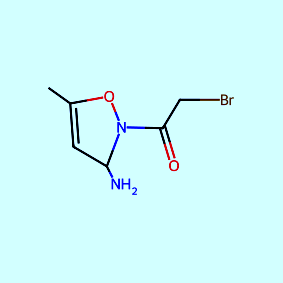 CC1=CC(N)N(C(=O)CBr)O1